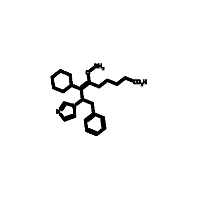 NO/C(CCCCC(=O)O)=C(\C1CCCCC1)C(Cc1ccccc1)n1ccnc1